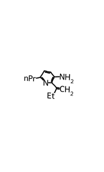 C=C(CC)c1nc(CCC)ccc1N